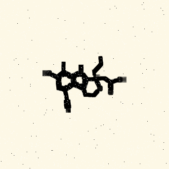 CCC[C@]1(CC(=O)O)OCCc2c1[nH]c1c(C)c(O)cc(C#N)c21